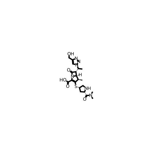 CC([C@H]1C(=O)N2C(C(=O)O)=C(S[C@@H]3CN[C@H](C(=O)N(C)C)C3)[C@H](C)[C@H]12)n1cc(CO)nn1